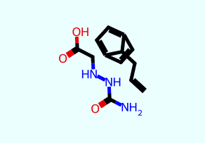 C=CCC1C2=CC=C1C=C2.NC(=O)NNCC(=O)O